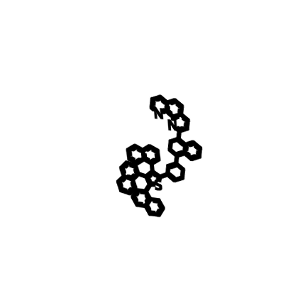 C1=C(C2=c3ccccc3=C(c3ccc4ccc5cccnc5c4n3)CC2)CCC=C1c1sc(-c2cccc3ccccc23)c(-c2cccc3ccccc23)c1-c1cccc2ccccc12